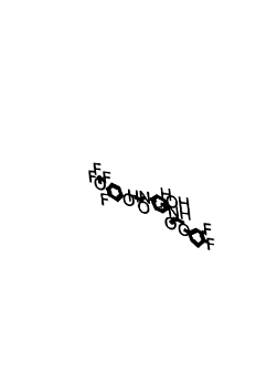 O=C(COc1ccc(OC(F)(F)F)c(F)c1)NC12CCC(NC(=O)COc3ccc(F)c(F)c3)(CC1)[C@@H](O)C2